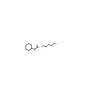 CNCCCCCNC(=O)[C@H](C)C1CCCCC1